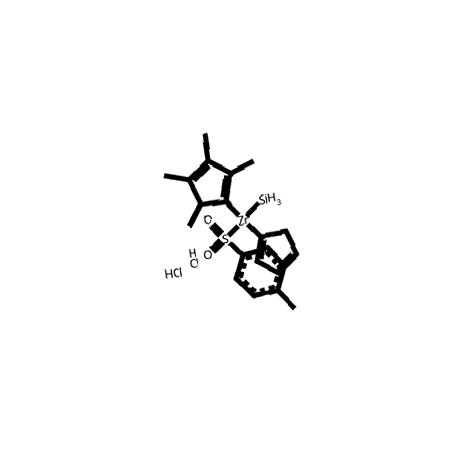 CC1=C(C)C(C)[C]([Zr]([SiH3])([C]2=CC=CC2)[S](=O)(=O)c2ccc(C)cc2)=C1C.Cl.Cl